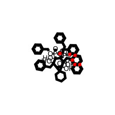 O=P(OCc1ccccc1)(OCc1ccccc1)[C@]1(O)[C@@](O)(Cc2ccccc2)[C@]2(O)C3(CCCCC3)[C@]2(O)[C@](O)(Cc2ccccc2)[C@@]1(O)P(=O)(OCc1ccccc1)OCc1ccccc1